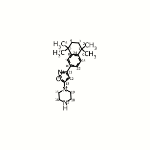 CC1(C)CCC(C)(C)c2cc(-c3cc(N4CCNCC4)on3)ccc21